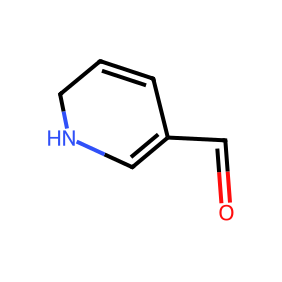 O=CC1=CNCC=C1